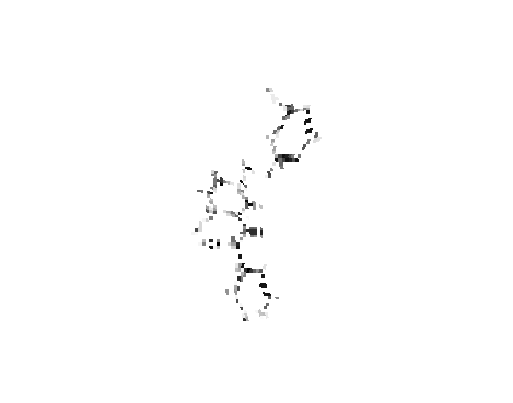 O=C(Nc1nc(OCc2cccc(F)c2)ncc1F)c1ccccc1